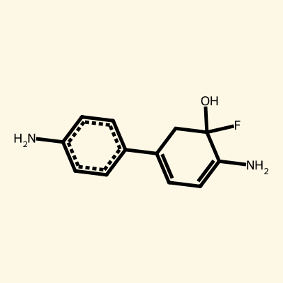 NC1=CC=C(c2ccc(N)cc2)CC1(O)F